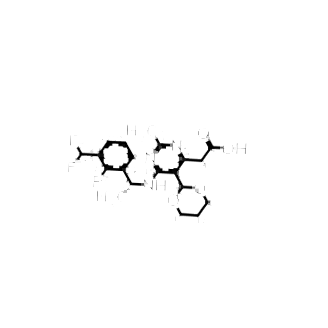 Cc1nc(CC(=O)O)c(C2OCCCO2)c(N[C@H](C)c2cccc(C(F)F)c2F)n1